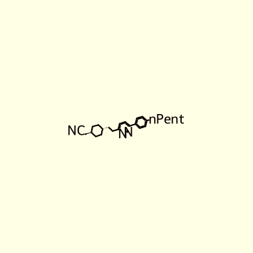 CCCCCc1ccc(-c2ccc(CC[C@H]3CC[C@H](CC#N)CC3)nn2)cc1